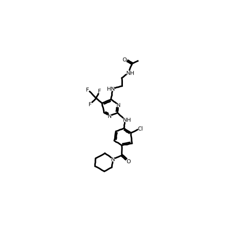 CC(=O)NCCNc1nc(Nc2ccc(C(=O)N3CCCCC3)cc2Cl)ncc1C(F)(F)F